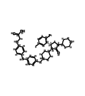 Cc1ccc(F)c([C@@H]2CN(C3CCOCC3)C(=O)N2C2CCN(Cc3ccc(Sc4ccc(OCC(=O)O)cc4)nc3)CC2)c1